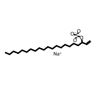 C=CC(CCCCCCCCCCCCCCCCCC)OS(=O)(=O)[O-].[Na+]